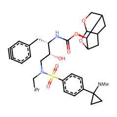 CNC1(c2ccc(S(=O)(=O)N(CC(C)C)C[C@@H](O)[C@H](Cc3cc#ccc3)NC(=O)O[C@H]3C4COC5OC3CC5C4)cc2)CC1